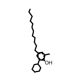 CCCCCCCCCCCCc1cc(C)c(O)c(C2CCCCC2)c1